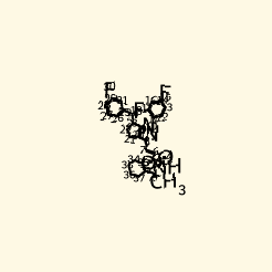 C[C@@H](NS(=O)(=O)/C=C/c1nn(-c2ccc(F)cc2F)c2c1CCC2Cc1cccc(F)c1)C1CCCCC1